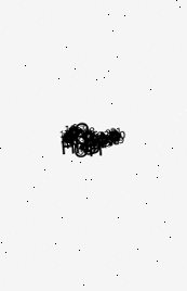 O=C(NO)[C@@H]1C[C@H](Oc2ccc3cccnc3c2)CC[C@H]1C(=O)N1CCN(c2ccccc2)CC1